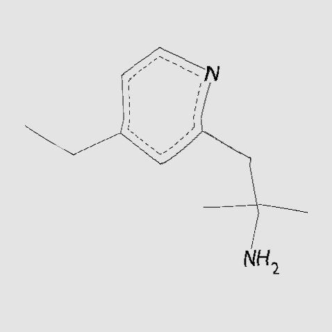 CCc1ccnc(CC(C)(C)N)c1